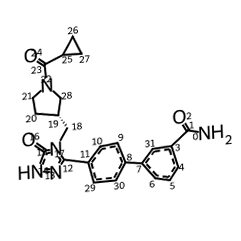 NC(=O)c1cccc(-c2ccc(-c3n[nH]c(=O)n3C[C@@H]3CCN(C(=O)C4CC4)C3)cc2)c1